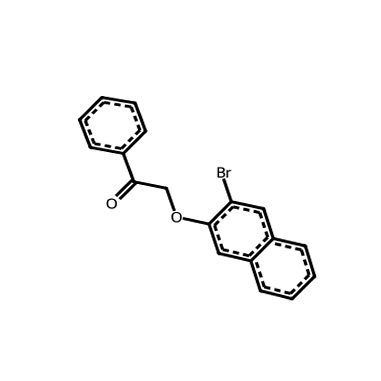 O=C(COc1cc2ccccc2cc1Br)c1ccccc1